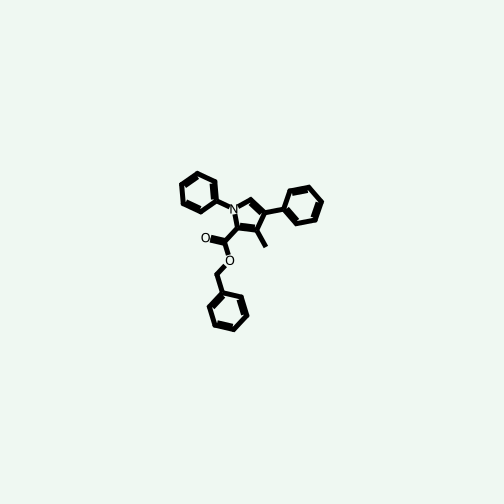 Cc1c(-c2ccccc2)cn(-c2ccccc2)c1C(=O)OCc1ccccc1